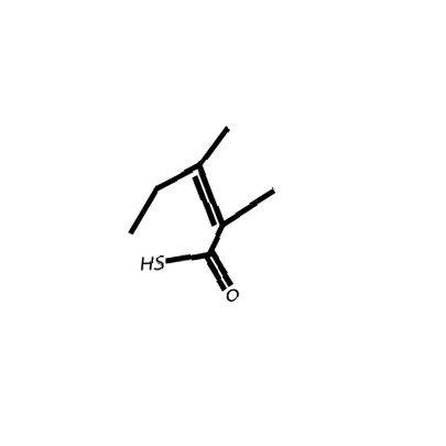 CCC(C)=C(C)C(=O)S